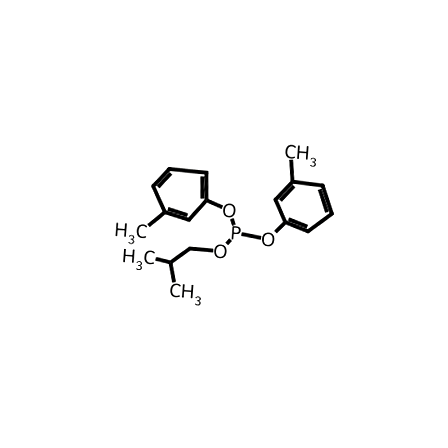 Cc1cccc(OP(OCC(C)C)Oc2cccc(C)c2)c1